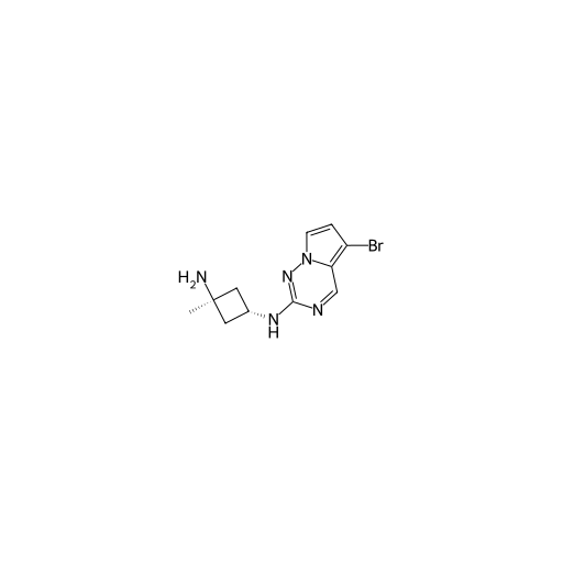 C[C@]1(N)C[C@H](Nc2ncc3c(Br)ccn3n2)C1